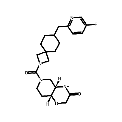 O=C1CO[C@@H]2CCN(C(=O)N3CC4(CCC(Cc5ccc(F)cn5)CC4)C3)C[C@@H]2N1